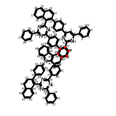 c1ccc(-c2cc(-c3ccc(-c4ccc5ccccc5c4-c4nc(-c5ccccc5)nc(-c5ccc(-c6cccc7ccc8c(c9ccccc9n8-c8ccc(-c9ccc%10ccccc%10c9-c9nc(-c%10ccccc%10)nc(-c%10ccccc%10)n9)cc8)c67)cc5)n4)cc3)nc(-c3ccccc3)n2)cc1